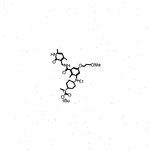 CCN(c1cc(OCCOC)cc(C(=O)NCc2c(C)cc(C)[nH]c2=O)c1C)[C@H]1CC[C@H](N(C)C(=O)OC(C)(C)C)CC1